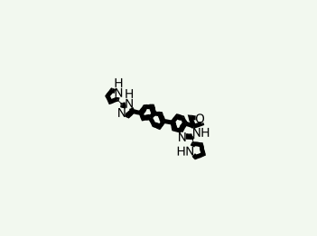 c1cc2c(cc1-c1ccc3cc(-c4cnc([C@@H]5CCCN5)[nH]4)ccc3c1)N=C([C@@H]1CCCN1)NC21COC1